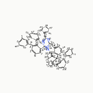 c1ccc(-c2cccc(-c3nc(-c4ccc5c(c4)C4(c6ccccc6-c6ccccc6-5)c5ccccc5-c5ccccc54)nc(-c4ccccc4-c4ccccc4)n3)c2)cc1